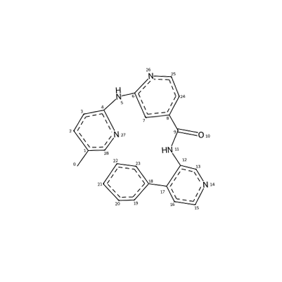 Cc1ccc(Nc2cc(C(=O)Nc3cnccc3-c3ccccc3)ccn2)nc1